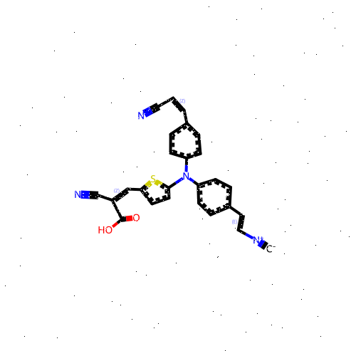 [C-]#[N+]/C=C/c1ccc(N(c2ccc(/C=C\C#N)cc2)c2ccc(/C=C(/C#N)C(=O)O)s2)cc1